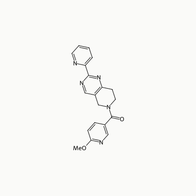 COc1ccc(C(=O)N2CCc3nc(-c4ccccn4)ncc3C2)cn1